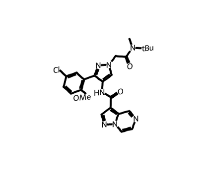 COc1ccc(Cl)cc1-c1nn(CC(=O)N(C)C(C)(C)C)cc1NC(=O)c1cnn2ccncc12